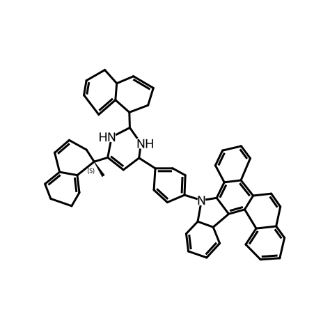 C[C@]1(C2=CC(c3ccc(N4c5c(c6c7ccccc7ccc6c6ccccc56)C5C=CC=CC54)cc3)NC(C3CC=CC4CC=CC=C43)N2)CC=CC2=CCCC=C21